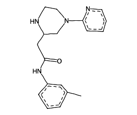 Cc1cccc(NC(=O)CC2CN(c3ccccn3)CCN2)c1